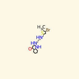 CCc1sc(CNCCCNc2cc(=O)c3ccccc3[nH]2)cc1Br